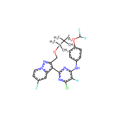 CC(C)(C)[Si](C)(C)OCc1nn2ccc(F)cc2c1-c1nc(Cl)c(F)c(Nc2ccc(OC(F)F)cc2)n1